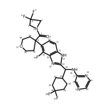 O=C(N1CC(F)(F)C1)C1(c2ccc3[nH]c(C(Nc4cnccn4)C4CCC(F)(F)CC4)nc3c2F)CCOCC1